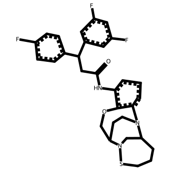 O=C(CC(c1ccc(F)cc1)c1cc(F)cc(F)c1)Nc1cccc2c1OCC1CCN2C2CCCSN1C2